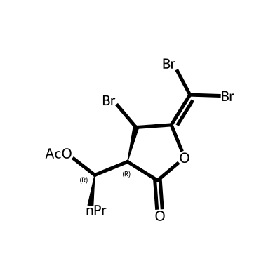 CCC[C@@H](OC(C)=O)[C@@H]1C(=O)OC(=C(Br)Br)C1Br